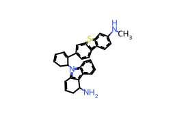 CNc1ccc2c(c1)sc1cc(C3=CC=CCC3n3c4c(c5ccccc53)C(N)CC=C4)ccc12